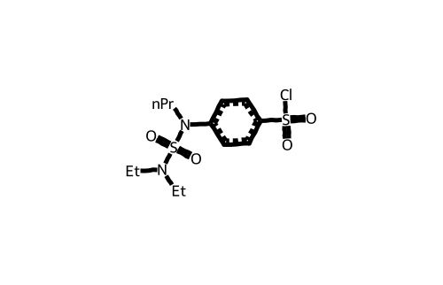 CCCN(c1ccc(S(=O)(=O)Cl)cc1)S(=O)(=O)N(CC)CC